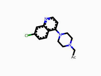 CC(=O)CN1CCN(c2ccnc3cc(Cl)ccc23)CC1